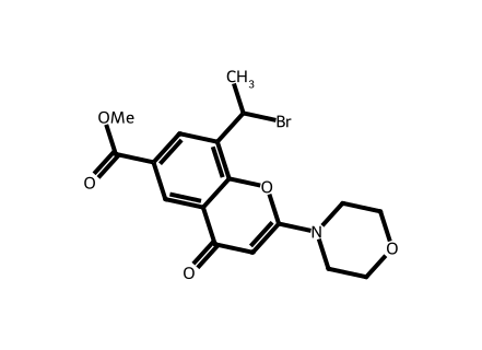 COC(=O)c1cc(C(C)Br)c2oc(N3CCOCC3)cc(=O)c2c1